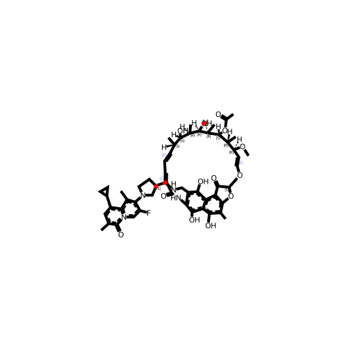 CO[C@H]1/C=C/O[C@@]2(C)Oc3c(C)c(O)c4c(O)c(c(CNC[C@@H]5CCN(c6c(F)cn7c(=O)c(C)cc(C8CC8)c7c6C)C5)c(O)c4c3C2=O)NC(=O)/C(C)=C\C=C\[C@H](C)[C@H](O)[C@@H](C)[C@@H](O)[C@@H](C)[C@H](OC(C)=O)[C@@H]1C